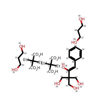 CCC(CC)(C(=O)O)C(=O)O.CCC(CC)(C(=O)O)C(=O)O.OCC(CO)(CO)C(O)=Cc1ccccc1.OCCCO.OCCCO